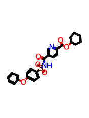 O=C(NS(=O)(=O)c1ccc(Oc2ccccc2)cc1)c1ccc(C(=O)OC2CCCCC2)nc1